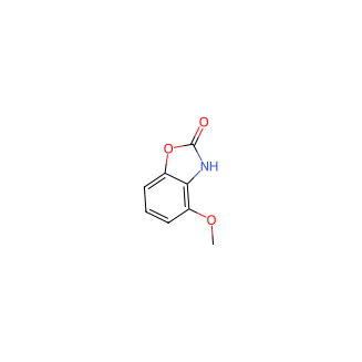 COc1cccc2oc(=O)[nH]c12